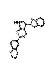 c1cnc2ccc(-c3ncc4c(-c5cc6cnccc6s5)c[nH]c4n3)cc2c1